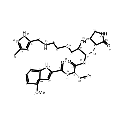 COc1cccc2[nH]c(C(=O)N[C@@H](CC(C)C)C(=O)N[C@@H](C[C@@H]3CCNC3=O)C(C#N)CSCCNCc3cc(C)n[nH]3)cc12